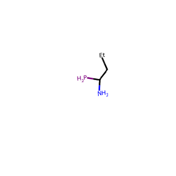 CCCC(N)P